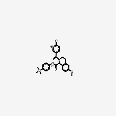 COc1ccc2c(c1)CCN(C(=O)c1ccc(=O)[nH]c1)C2C(=O)Nc1ccc([Si](C)(C)C)cc1